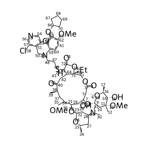 CC[C@H]1OC(=O)[C@H](C)[C@@H](O[C@H]2C[C@@](C)(OC)[C@@H](O)[C@H](C)O2)[C@H](C)[C@@H](O[C@@H]2O[C@H](C)C[C@H](N(C)C)[C@H]2O)[C@](C)(OC)C[C@@H](C)C(=O)[C@H](C)[C@H]2C(SCCN(Cc3c(Cl)cncc3Cl)c3ccc(OC)c(OC4CCCC4)c3)C(=O)O[C@@]21C